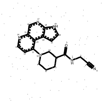 N#CCNC(=O)C1CCCN(c2ccnc3cnc4[nH]ccc4c23)C1